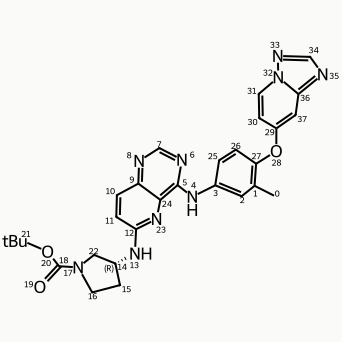 Cc1cc(Nc2ncnc3ccc(N[C@@H]4CCN(C(=O)OC(C)(C)C)C4)nc23)ccc1Oc1ccn2ncnc2c1